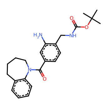 CC(C)(C)OC(=O)NCc1ccc(C(=O)N2CCCCc3ccccc32)cc1N